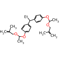 C=C(C)COC(C)Oc1ccc(C(CC)c2ccc(OC(C)OCC(=C)C)cc2)cc1